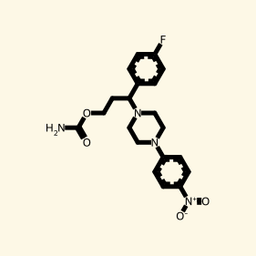 NC(=O)OCCC(c1ccc(F)cc1)N1CCN(c2ccc([N+](=O)[O-])cc2)CC1